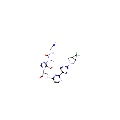 CN(C(=O)NCC#N)c1ncn([C@](C)(C=O)CNc2ccnc(-c3cnc(N4CC5C(C4)C5(F)F)nc3)n2)c1C=O